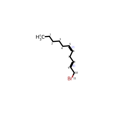 CCCCC/C=C\C/C=C/CBr